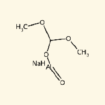 COC(OC)[O][Al]=[O].[NaH]